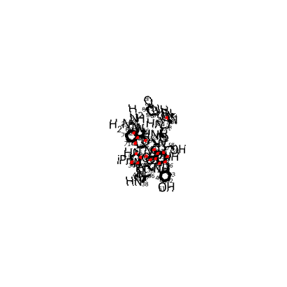 CCN1CCC[C@H]1C(=O)N(Cc1ccccc1)C(=O)[C@H](CCCN=C(N)N)NC(=O)[C@H](CC(C)C)NC(=O)[C@@H](Cc1c[nH]cn1)NC(=O)[C@H](Cc1ccc(O)cc1)NC(=O)[C@H](CO)NC(=O)[C@H](Cc1c[nH]c2ccccc12)NC(=O)[C@H](Cc1c[nH]cn1)NC(=O)[C@@H]1CCC(=O)N1